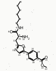 CCCCCCNC(=O)[C@@H](N)Cc1ncc(-c2ccc(C(=O)OC)cc2)o1